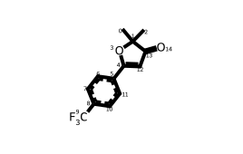 CC1(C)OC(c2ccc(C(F)(F)F)cc2)=CC1=O